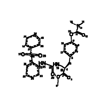 COC(=O)[C@H](Cc1ccc(OC(=O)N(C)C)cc1)NC(=O)Nc1ccccc1S(=O)(=O)c1ccccc1